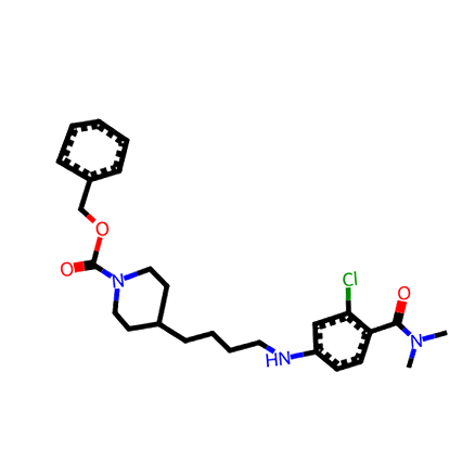 CN(C)C(=O)c1ccc(NCCCCC2CCN(C(=O)OCc3ccccc3)CC2)cc1Cl